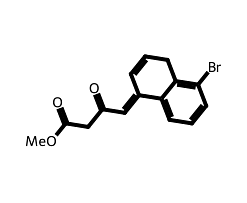 COC(=O)CC(=O)C=C1C=CCc2c(Br)cccc21